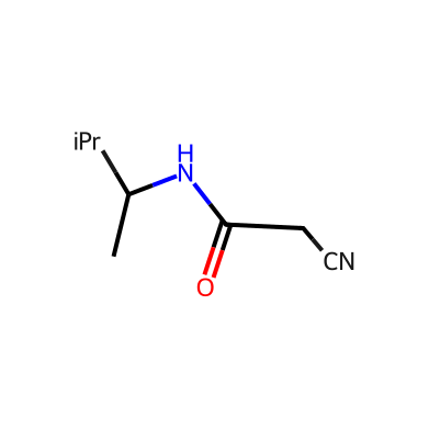 CC(C)C(C)NC(=O)CC#N